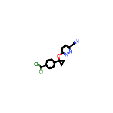 N#Cc1ccc(OC2(c3ccc(C(Cl)Cl)cc3)CC2)nn1